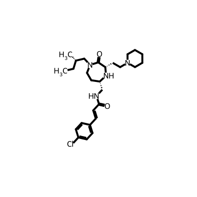 CC[C@H](C)CN1CC[C@@H](CNC(=O)/C=C/c2ccc(Cl)cc2)N[C@@H](CCN2CCCCC2)C1=O